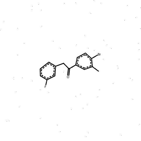 Cc1cc(C(=O)Cc2cccc(F)c2)ccc1Br